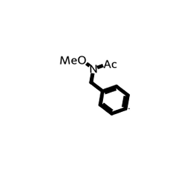 CON(Cc1cc[c]cc1)C(C)=O